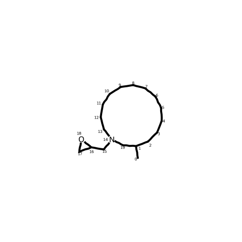 CC1CCCCCCCCCCCCN(CC2CO2)C1